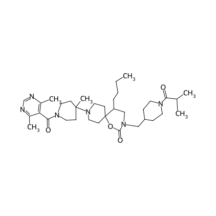 CCCCC1CN(CC2CCN(C(=O)C(C)C)CC2)C(=O)OC12CCN(C1(C)CCN(C(=O)c3c(C)ncnc3C)CC1)CC2